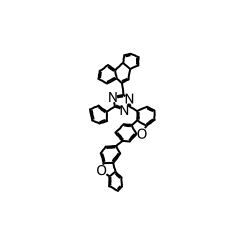 C1=CC2C=C(c3nc(-c4ccccc4)nc(-c4cccc5oc6cc(-c7ccc8oc9ccccc9c8c7)ccc6c45)n3)c3ccccc3C2C=C1